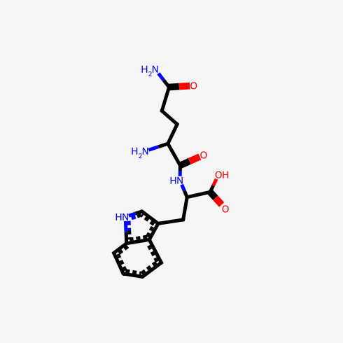 NC(=O)CCC(N)C(=O)NC(Cc1c[nH]c2ccccc12)C(=O)O